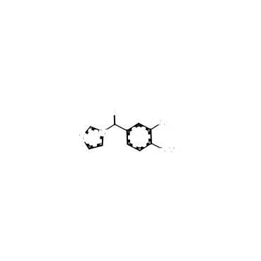 CNc1ccc(C(C(C)C)n2ccnc2)cc1N